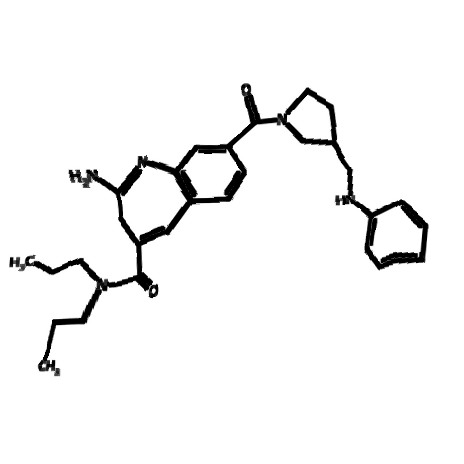 CCCN(CCC)C(=O)C1=Cc2ccc(C(=O)N3CCC(CNc4ccccc4)C3)cc2N=C(N)C1